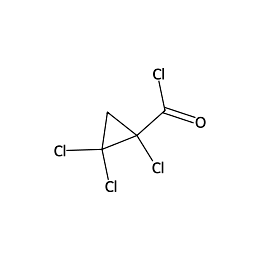 O=C(Cl)C1(Cl)CC1(Cl)Cl